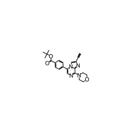 C#Cc1cn2c(-c3ccc(C(=O)OC(C)(C)C)cc3)cnc(N3CCOCC3)c2n1